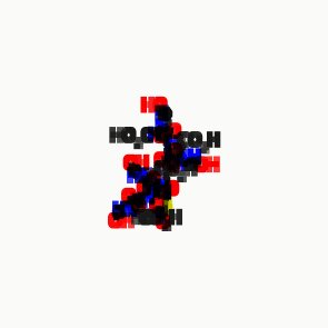 CCCN1C(=O)CC(SCCNC(=O)[C@H](CCCCNC(=O)[C@H](CCCCNC(=O)[C@H](Cc2ccc(O)cc2)NC(=O)CCC(=O)O)NC(=O)[C@H](Cc2ccc(O)cc2)NC(=O)CCC(=O)O)NC(=O)[C@H](CCCCNC(=O)[C@H](Cc2ccc(O)cc2)NC(=O)CCC(=O)O)NC(=O)[C@H](Cc2ccc(O)cc2)NC(=O)CCC(=O)O)C1=O